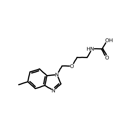 Cc1ccc2c(c1)ncn2COCCNC(=O)O